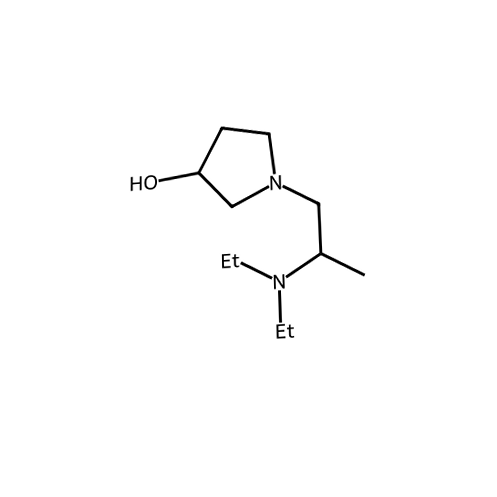 CCN(CC)C(C)CN1CCC(O)C1